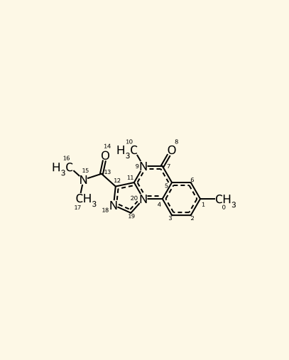 Cc1ccc2c(c1)c(=O)n(C)c1c(C(=O)N(C)C)ncn21